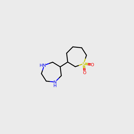 O=S1(=O)CCCCC(C2CNCCNC2)C1